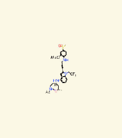 COc1cc([S+](C)[O-])ccc1NCC#Cc1cc2c(N[C@H]3CCN(C(C)=O)/C=B/[C@@H](C)C3)cccc2n1CC(F)(F)F